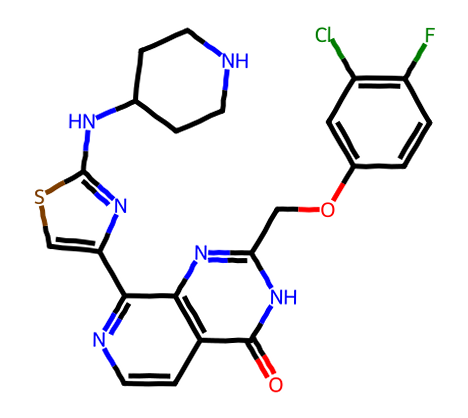 O=c1[nH]c(COc2ccc(F)c(Cl)c2)nc2c(-c3csc(NC4CCNCC4)n3)nccc12